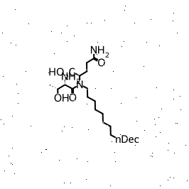 CCCCCCCCCCCCCCCCCCN(C(=O)[C@@H](N)[C@@H](C)O)[C@H](CCC(N)=O)C(=O)O